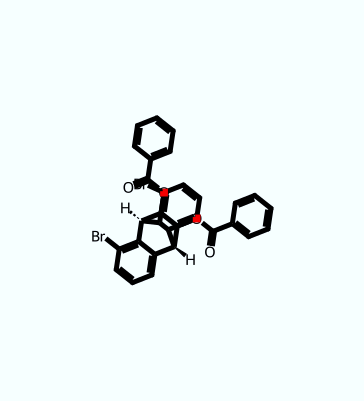 O=C(OC1C(OC(=O)c2ccccc2)[C@H]2c3c(Br)cccc3[C@H]1c1cccc(Br)c12)c1ccccc1